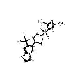 Cc1nc(C)c(S(=O)(=O)N2CCC(c3cn4ncnc4cc3C(F)(F)F)CC2)s1